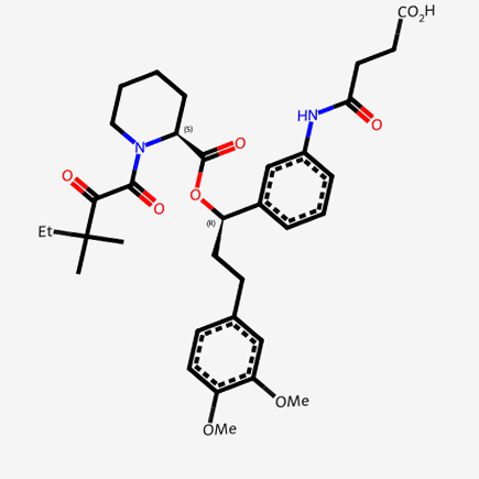 CCC(C)(C)C(=O)C(=O)N1CCCC[C@H]1C(=O)O[C@H](CCc1ccc(OC)c(OC)c1)c1cccc(NC(=O)CCC(=O)O)c1